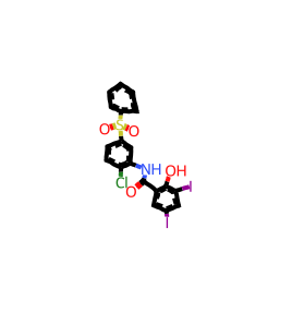 O=C(Nc1cc(S(=O)(=O)c2ccccc2)ccc1Cl)c1cc(I)cc(I)c1O